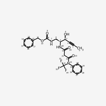 CC#C[C@H](O)[C@H](CNC(=O)OCc1ccccc1)NC(=O)CC(=O)N(c1ccccc1)C(F)(F)F